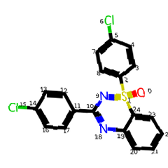 O=S1(c2ccc(Cl)cc2)=NC(c2ccc(Cl)cc2)=Nc2ccccc21